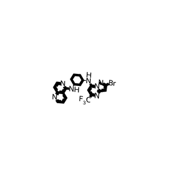 FC(F)(F)c1cc(N[C@H]2CCC[C@@H](Nc3nccc4ncccc34)C2)n2nc(Br)cc2n1